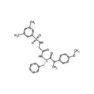 COc1ccc(N(C)C(=O)[C@H](Cc2ccccc2)NC(=O)CNS(=O)(=O)c2cc(C)cc(C)c2)cc1